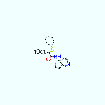 CCCCCCCCC(SC1CCCCC1)C(=O)Nc1cccc2cnccc12